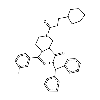 O=C(NC(c1ccccc1)c1ccccc1)C1CN(C(=O)CCN2CCCCC2)CCN1C(=O)c1cccc(Cl)c1